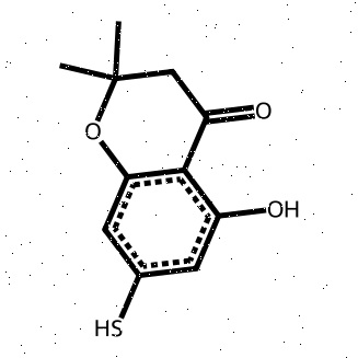 CC1(C)CC(=O)c2c(O)cc(S)cc2O1